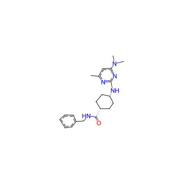 Cc1cc(N(C)C)nc(N[C@H]2CC[C@@H](C(=O)NCc3ccccc3)CC2)n1